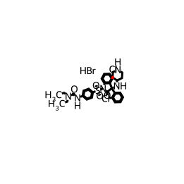 Br.CCN(CC)C(=O)Nc1ccc(S(=O)(=O)N2C(=O)C(NC3CCNCC3)(c3ccccc3Cl)c3cc(Cl)ccc32)cc1